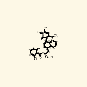 CCc1cc(CC(F)(F)F)c(-c2ccc(C[C@H](NC(=O)c3c(Cl)cccc3Cl)C(=O)O)c3cccnc23)c(=O)n1CC